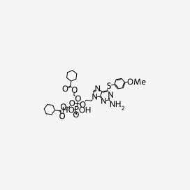 COc1ccc(Sc2nc(N)nc3c2ncn3CCOC(OCOC(=O)C2CCCCC2)(OCOC(=O)C2CCCCC2)P(=O)(O)O)cc1